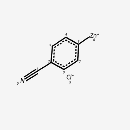 N#Cc1cc[c]([Zn+])cc1.[Cl-]